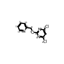 Clc1cc(Cl)nc(OCc2ccccn2)n1